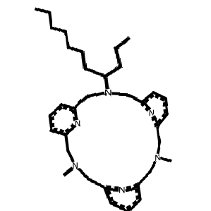 CCCCCCCC(CCC)N1Cc2cccc(n2)CN(C)Cc2cccc(n2)CN(C)Cc2cccc(n2)C1